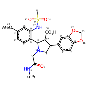 CCCNC(=O)CN1CC(c2ccc3c(c2)OCO3)C(C(=O)O)C1c1ccc(OC)cc1NS(C)(=O)=O